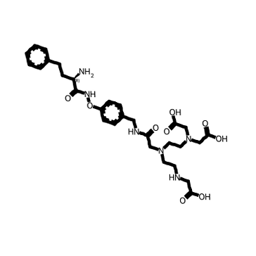 N[C@H](CCc1ccccc1)C(=O)NOc1ccc(CNC(=O)CN(CCNCC(=O)O)CCN(CC(=O)O)CC(=O)O)cc1